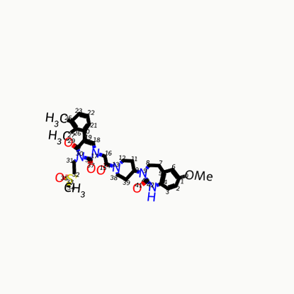 COc1ccc2c(c1)CCN(C1CCN(C(=O)Cn3cc(-c4cccc(C)c4C)c(=O)n(CC[S+](C)[O-])c3=O)CC1)C(=O)N2